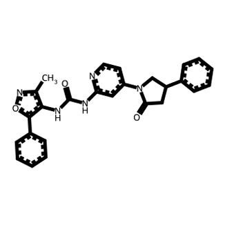 Cc1noc(-c2ccccc2)c1NC(=O)Nc1cc(N2CC(c3ccccc3)CC2=O)ccn1